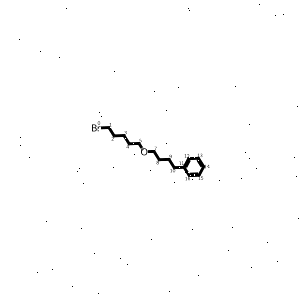 BrCCCCCOCCCCc1ccccc1